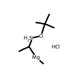 Cl.[CH3][Mg][CH](C)[SiH2]OC(C)(C)C